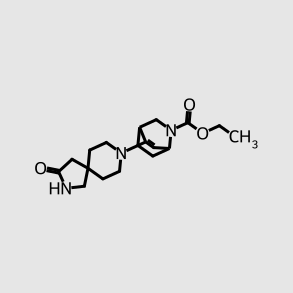 CCOC(=O)N1CC2CCC1C=C2N1CCC2(CC1)CNC(=O)C2